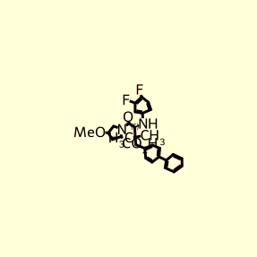 COC1CC(C(=O)O)N(C(=O)[C@@H](Nc2ccc(F)c(F)c2)C(C)(C)Cc2ccc(-c3ccccc3)cc2)C1